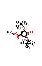 CCOC(=O)C1=C[C@@H](O[Si](C)(C)C(C)(C)C)[C@@H](O)[C@H](O[Si](C)(C)C(C)(C)C)C1